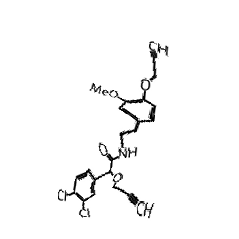 C#CCOc1ccc(CCNC(=O)C(OCC#C)c2ccc(Cl)c(Cl)c2)cc1OC